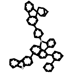 c1ccc(-c2ccccc2-c2ccccc2-c2ccccc2N(c2ccc(-c3ccc4c(c3)C3(CC5CCC3C5)c3ccccc3-4)cc2)c2ccc(-c3ccc4oc5ccccc5c4c3)cc2)cc1